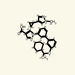 CC(Oc1cccc(-c2cccc(-n3ncc(C(=O)O)c3[C@@H]3CC3c3cnn(C)c3)c2)c1)C1CCCCC1